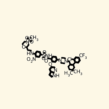 CC1(C)CCC(CN2CCN(c3ccc(C(=O)NS(=O)(=O)c4ccc(NCCC5CN(S(C)(=O)=O)CCO5)c([N+](=O)[O-])c4)c(Oc4cnc5[nH]ccc5c4)c3)CC2)=C(c2ccc(C(F)(F)F)cc2Cl)C1